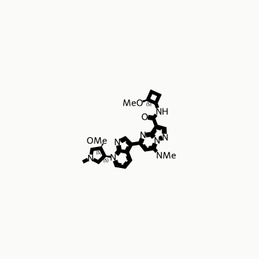 CNc1cc(-c2cnc3n([C@H]4CN(C)C[C@@H]4OC)cccc2-3)nc2c(C(=O)NC3CC[C@@H]3OC)cnn12